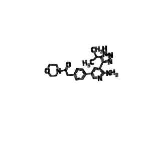 CC(C)c1[nH]nnc1-c1cc(-c2ccc(CC(=O)N3CCOCC3)cc2)cnc1N